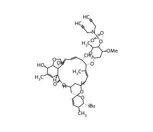 C#CCN(CC#C)S(=O)(=O)OC1[C@H](C)O[C@@H](O[C@@H]2/C(C)=C/C[C@@H]3C[C@@H](C[C@]4(C=C[C@H](C)[C@@H](C(C)CC)O4)O3)OC(=O)[C@@H]3C=C(C)[C@@H](O)C4OC/C(=C\C=C\[C@@H]2C)[C@]43O)C[C@@H]1OC